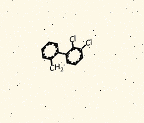 [CH2]c1ccccc1-c1cccc(Cl)c1Cl